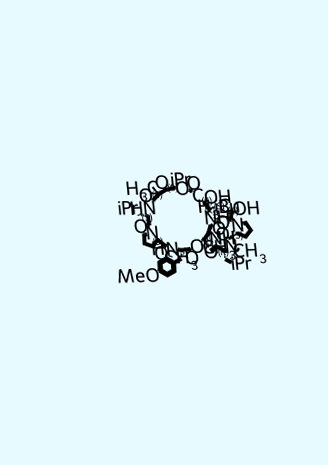 CC[C@H](C)[C@H]1NC(=O)C(NC(=O)[C@@H](CC(C)C)N(C)C(=O)[C@@H]2CCCN2C(=O)[C@H](C)O)[C@@H](C)OC(=O)[C@H](Cc2ccc(OC)cc2)N(C)C(=O)[C@@H]2CCCN2C(=O)[C@H](CC(C)C)NC(=O)[C@@H](C)C(=O)[C@H](C(C)C)OC(=O)C[C@@H]1O